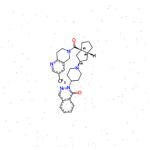 O=C(N1CCc2ncc(C(F)(F)F)cc2C1)[C@@]12CCC[C@@H]1C[C@@H](N1CCC(n3ncc4ccccc4c3=O)CC1)C2